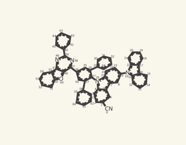 N#Cc1ccc2c(c1)c1cc(-n3c4ccccc4c4ccccc43)ccc1n2-c1c(-c2ccccc2)cc(-c2nc(-c3ccccc3)nc3c2oc2ccccc23)cc1-c1ccccc1